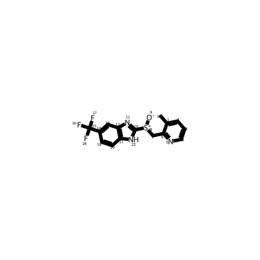 Cc1cccnc1C[S+]([O-])c1nc2cc(C(F)(F)F)ccc2[nH]1